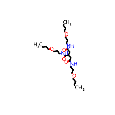 CCCCOCCCNC(=O)CC(CC(=O)NCCCOCCCC)C(=O)NCCCOCCCC